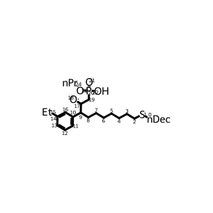 CCCCCCCCCCSCCCCCCCC(c1cccc(CC)c1)C([O])CP(=O)(O)OCCC